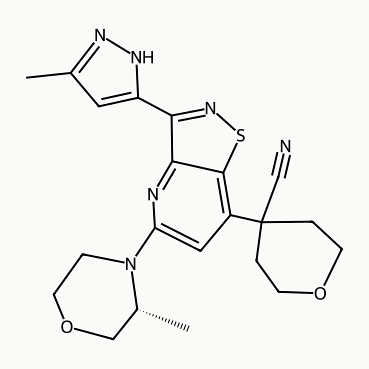 Cc1cc(-c2nsc3c(C4(C#N)CCOCC4)cc(N4CCOC[C@H]4C)nc23)[nH]n1